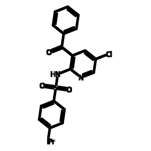 CC(C)c1ccc(S(=O)(=O)Nc2ncc(Cl)cc2C(=O)c2ccccc2)cc1